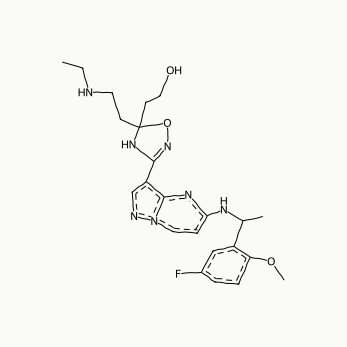 CCNCCC1(CCO)NC(c2cnn3ccc(NC(C)c4cc(F)ccc4OC)nc23)=NO1